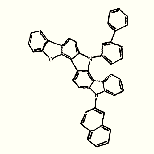 c1ccc(-c2cccc(-n3c4ccc5c6ccccc6oc5c4c4ccc5c(c6ccccc6n5-c5ccc6ccccc6c5)c43)c2)cc1